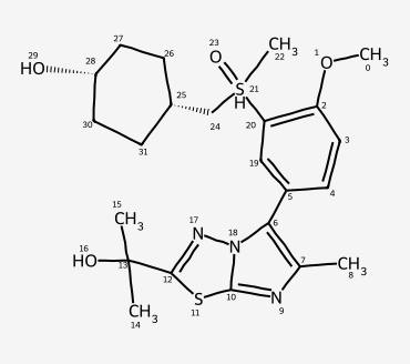 COc1ccc(-c2c(C)nc3sc(C(C)(C)O)nn23)cc1[SH](C)(=O)C[C@H]1CC[C@@H](O)CC1